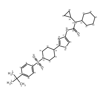 CC(C)(C)c1ccc(S(=O)(=O)N2CCC(c3nc(OC(=O)N(C4CCCCC4)C4CC4)cs3)CC2)cc1